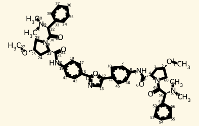 CO[C@H]1C[C@@H](C(=O)Nc2ccc(-c3cnc(-c4ccc(NC(=O)[C@@H]5C[C@H](OC)CN5C(=O)[C@@H](c5ccccc5)N(C)C)cc4)o3)cc2)N(C(=O)[C@@H](c2ccccc2)N(C)C)C1